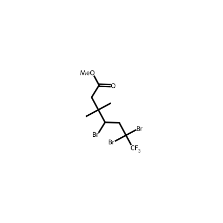 COC(=O)CC(C)(C)C(Br)CC(Br)(Br)C(F)(F)F